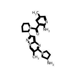 Cc1cnc(N)c(C(=O)N2CCCC[C@H]2c2cc3nc(N4CC[C@H](N)C4)c(C)cn3n2)c1